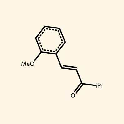 COc1ccccc1C=CC(=O)C(C)C